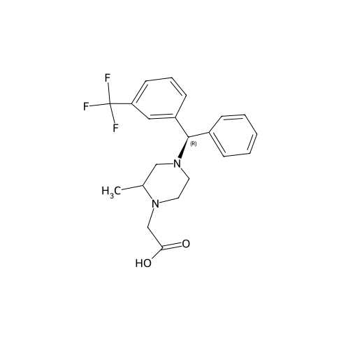 CC1CN([C@H](c2ccccc2)c2cccc(C(F)(F)F)c2)CCN1CC(=O)O